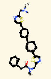 CCCN(C)Cc1ncc(-c2ccc(-c3ccc(-c4cnc(CN(CCC)C(=O)Cc5ccccc5)s4)cc3)cc2)s1